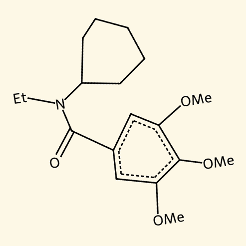 CCN(C(=O)c1cc(OC)c(OC)c(OC)c1)C1CCCCC1